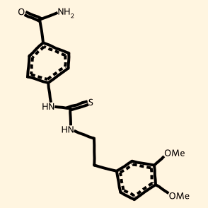 COc1ccc(CCNC(=S)Nc2ccc(C(N)=O)cc2)cc1OC